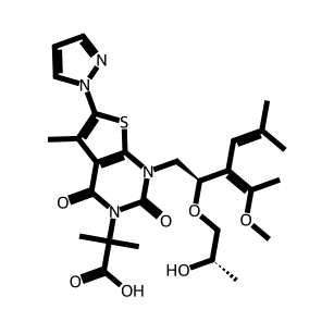 CO/C(C)=C(/C=C(C)C)[C@H](Cn1c(=O)n(C(C)(C)C(=O)O)c(=O)c2c(C)c(-n3cccn3)sc21)OC[C@H](C)O